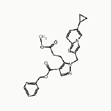 COC(=O)CCc1c(C(=O)OCc2ccccc2)cnn1Cc1cn2cc(C3CC3)ccc2n1